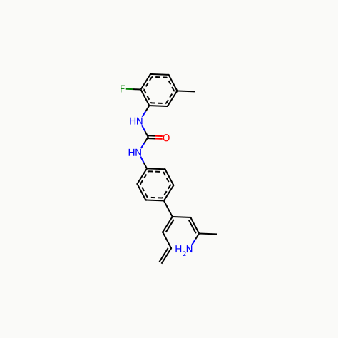 C=C/C=C(\C=C(\C)N)c1ccc(NC(=O)Nc2cc(C)ccc2F)cc1